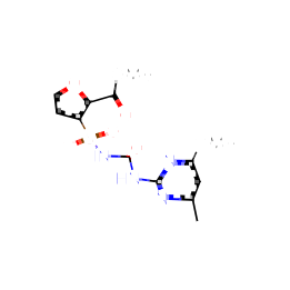 COC(=O)c1occc1S(=O)(=O)NC(=O)Nc1nc(C)cc(OC)n1